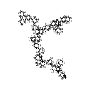 c1ccc(-c2nc(-c3ccncc3)nc3ccc(-c4cccc(-c5ccc6ccc7ccc(-c8cccc(-c9ccc%10c(c9)-c9ccc(-c%11cc%12ccc(-c%13cccc(-c%14ccc%15c%16ccccc%16c%16ccccc%16c%15c%14)c%13)nc%12c%12nc(-c%13ccc(-c%14ccc%15nc(-c%16ccc%17ccccc%17c%16)nc(-c%16ccccc%16)c%15c%14)cc%13)ccc%11%12)c%11cccc-%10c9%11)c8)nc7c6n5)c4)cc23)cc1